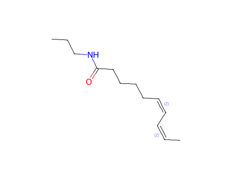 C/C=C\C=C/CCCCC(=O)NCCC